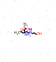 CC(O)CC(N)(CCNCCCO)CC(C)O